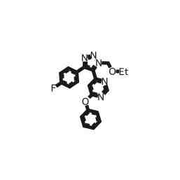 CCOCn1nnc(-c2ccc(F)cc2)c1-c1cc(Oc2ccccc2)ncn1